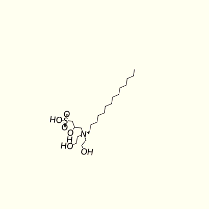 CCCCCCCCCCCCCC[N+](CCO)(CCO)CC(O)CS(=O)(=O)O